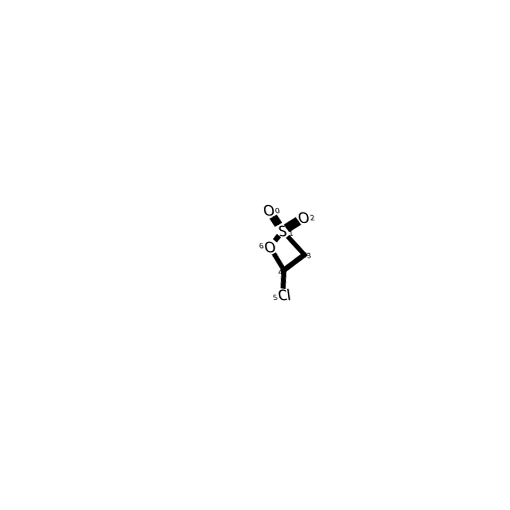 O=S1(=O)CC(Cl)O1